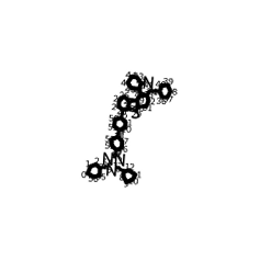 c1ccc(-c2nc(-c3ccccc3)nc(-c3ccc(-c4ccc(-c5cccc6c5sc5ccc7c(-c8ccccc8)nc8ccccc8c7c56)cc4)cc3)n2)cc1